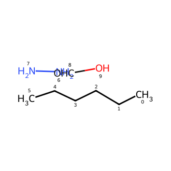 CCCCCC.NN.O=CO